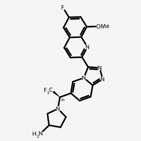 COc1cc(F)cc2ccc(-c3nnc4ccc([C@@H](N5CCC(N)C5)C(F)(F)F)cn34)nc12